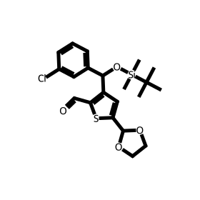 CC(C)(C)[Si](C)(C)OC(c1cccc(Cl)c1)c1cc(C2OCCO2)sc1C=O